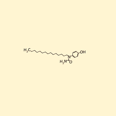 CCCCCCCCCCCCCCCN(C(N)=O)c1ccc(O)cc1